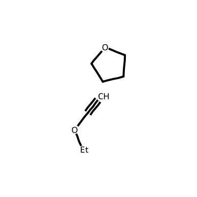 C#COCC.C1CCOC1